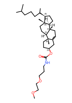 COCCOCCCNC(=O)O[C@H]1CC[C@@]2(C)C(=CC[C@H]3[C@@H]4CC[C@H](C(C)CCCC(C)C)[C@@]4(C)CC[C@@H]32)C1